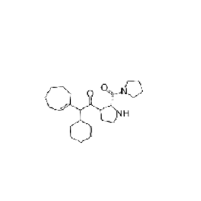 O=C(C(C1=CCCCCC1)C1CCCCC1)C1CCN[C@H]1C(=O)N1CCCC1